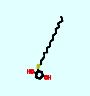 CCCCCCCCCCCCCCCCSc1cc(O)ccc1O